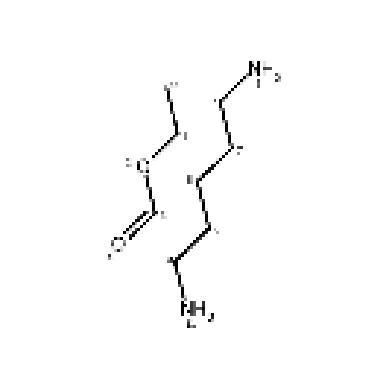 CCOC=O.NCCCCCN